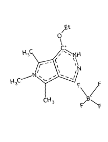 CCO[c+]1[nH]ncc2c(C)n(C)c(C)c21.F[B-](F)(F)F